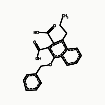 CCCc1c(C(=O)O)c(C(=O)O)c(OCc2ccccc2)c2ccccc12